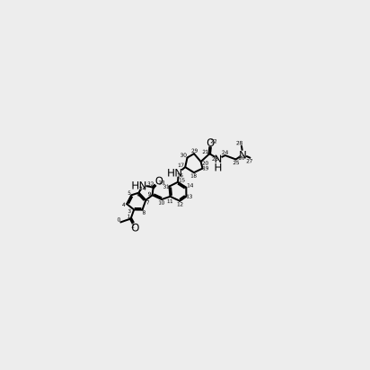 CC(=O)c1ccc2c(c1)/C(=C/c1cccc(NC3CCC(C(=O)NCCN(C)C)CC3)c1)C(=O)N2